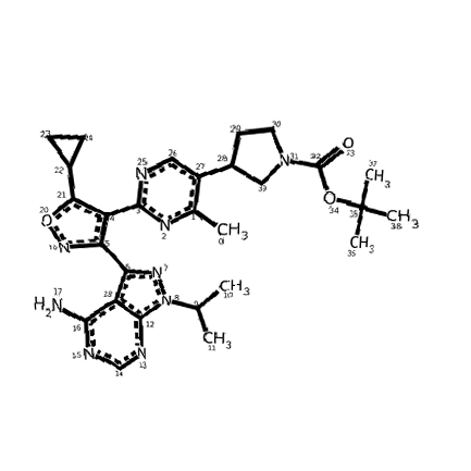 Cc1nc(-c2c(-c3nn(C(C)C)c4ncnc(N)c34)noc2C2CC2)ncc1C1CCN(C(=O)OC(C)(C)C)C1